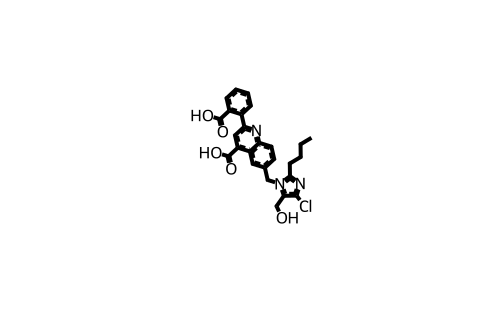 CCCCc1nc(Cl)c(CO)n1Cc1ccc2nc(-c3ccccc3C(=O)O)cc(C(=O)O)c2c1